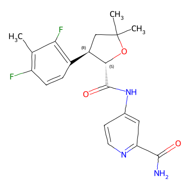 Cc1c(F)ccc([C@H]2CC(C)(C)O[C@@H]2C(=O)Nc2ccnc(C(N)=O)c2)c1F